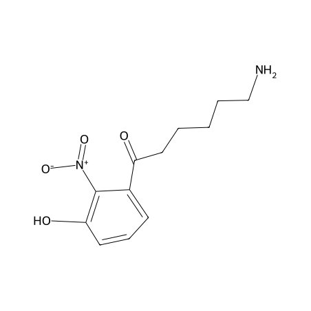 NCCCCCC(=O)c1cccc(O)c1[N+](=O)[O-]